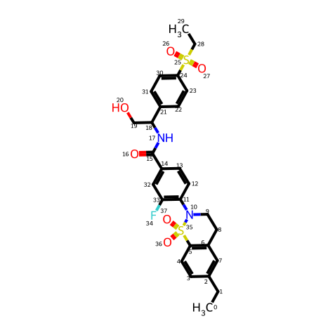 CCc1ccc2c(c1)CCN(c1ccc(C(=O)NC(CO)c3ccc(S(=O)(=O)CC)cc3)cc1F)S2(=O)=O